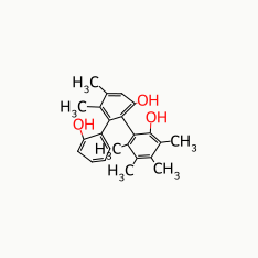 Cc1cc(O)c(-c2c(C)c(C)c(C)c(C)c2O)c(-c2ccccc2O)c1C